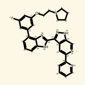 Fc1cc(OCCN2CCCC2)cc(-c2cccc3[nH]c(-c4n[nH]c5cnc(-c6ccccn6)cc45)nc23)c1